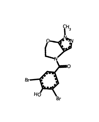 Cn1ncc2c1OCCN2C(=O)c1cc(Br)c(O)c(Br)c1